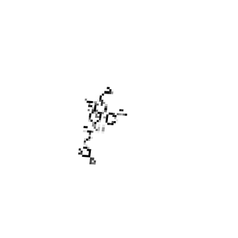 COc1cccc([C@@]23CCN(CC4CC4)C[C@@]2(OC(C)=O)CC[C@H](NC(=O)C=Cc2cc(Br)cs2)C3)c1